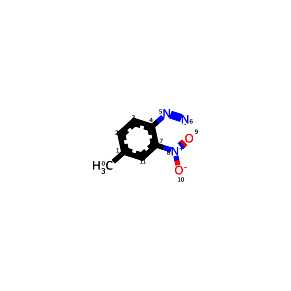 Cc1ccc(N=[N])c([N+](=O)[O-])c1